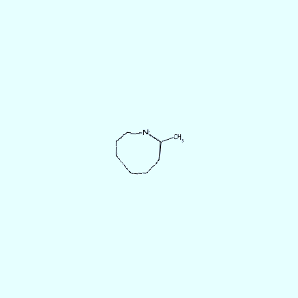 CC1CCCCCC[N]1